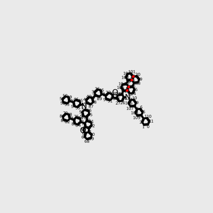 c1ccc(-c2ccc(-c3ccc(N(c4ccc(-c5ccccc5)cc4)c4ccc5c(oc6cc(-c7cccc(-c8ccc(N(c9ccc(-c%10ccccc%10)cc9)c9ccc(-c%10ccc%11c(oc%12ccccc%12%11)c%10-c%10ccc(-c%11ccccc%11)cc%10)cc9)cc8)c7)ccc65)c4-c4ccc(-c5ccccc5)cc4)cc3)cc2)cc1